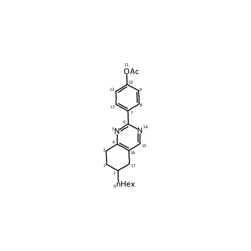 CCCCCCC1CCc2nc(-c3ccc(OC(C)=O)cc3)ncc2C1